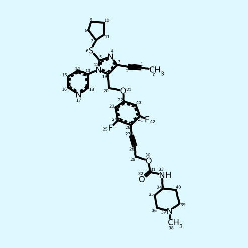 CC#Cc1nc(SC2CCCC2)n(-c2cccnc2)c1COc1cc(F)c(C#CCOC(=O)NC2CCN(C)CC2)c(F)c1